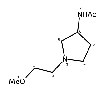 COCCN1CCC(NC(C)=O)C1